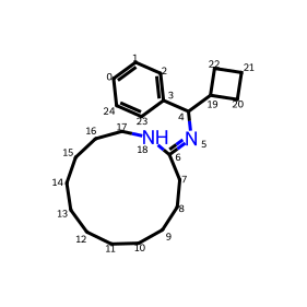 c1ccc(C(/N=C2/CCCCCCCCCCCN2)C2CCC2)cc1